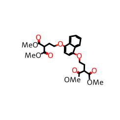 COC(=O)C(CCOc1ccc(OCCC(C(=O)OC)C(=O)OC)c2ccccc12)C(=O)OC